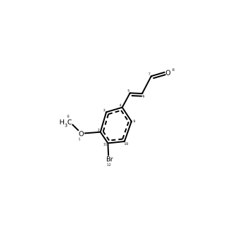 COc1cc(C=CC=O)ccc1Br